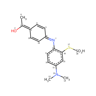 CC(O)=C1C=CC(=Nc2ccc(N(C)C)cc2SS(=O)(=O)O)C=C1